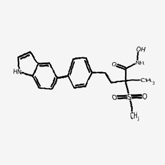 CC(CCc1ccc(-c2ccc3[nH]ccc3c2)cc1)(C(=O)NO)S(C)(=O)=O